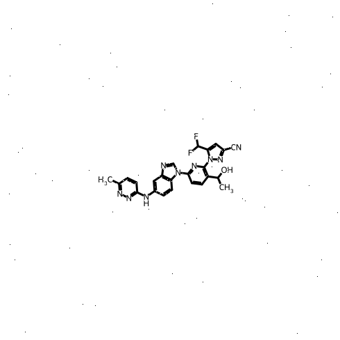 Cc1ccc(Nc2ccc3c(c2)ncn3-c2ccc(C(C)O)c(-n3nc(C#N)cc3C(F)F)n2)nn1